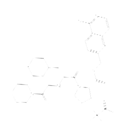 Nc1nccc2cc(CNC(=O)[C@@H]3CCCN3C(=O)[C@@H](CC3CCCCC3)NCC(=O)N3CCOCC3)ccc12.O=C(O)C(F)(F)F